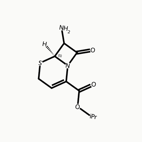 CC(C)OC(=O)C1=CCS[C@H]2C(N)C(=O)N12